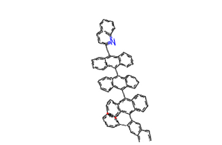 c1ccc(-c2cc3ccccc3cc2-c2c3ccccc3c(-c3c4ccccc4c(-c4c5ccccc5c(-c5ccc6ccccc6n5)c5ccccc45)c4ccccc34)c3ccccc23)cc1